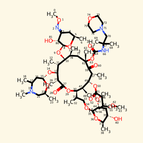 CON=C1C[C@@H](C)O[C@@H](O[C@@H]2[C@@H](C)[C@H](O[C@H]3CC(C)N(C)C[C@H](C)O3)[C@@H](C)C(=O)O[C@H](C(C)CO[C@@H]3O[C@H](C)[C@@H](O)[C@@H](OC)[C@H]3OC)[C@H](C)[C@@H](OC(=O)CC(C)C)[C@@H](C)C(=O)[C@@](C)(OC(=O)NC(C)(C)CN3CCOCC3)C[C@@H]2C)[C@@H]1O